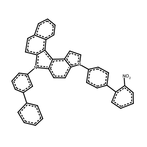 O=[N+]([O-])c1ccccc1-c1ccc(-n2ccc3c4c5c6ccccc6ccc5n(-c5cccc(-c6ccccc6)c5)c4ccc32)cc1